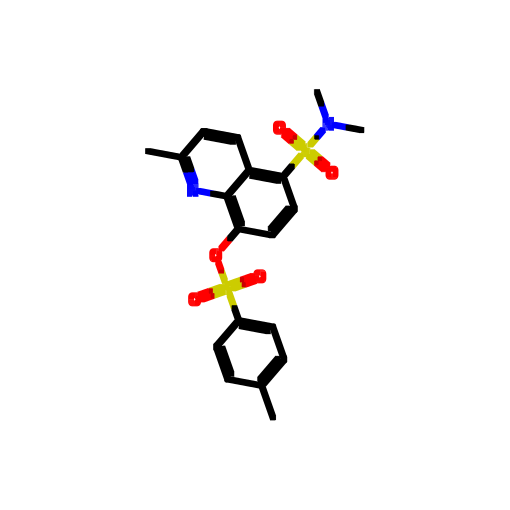 Cc1ccc(S(=O)(=O)Oc2ccc(S(=O)(=O)N(C)C)c3ccc(C)nc23)cc1